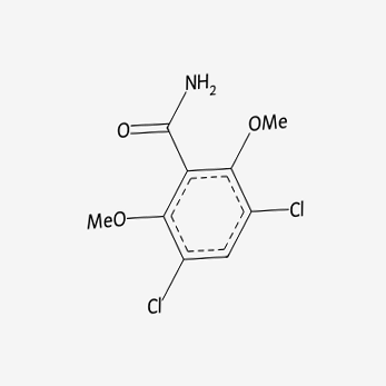 COc1c(Cl)cc(Cl)c(OC)c1C(N)=O